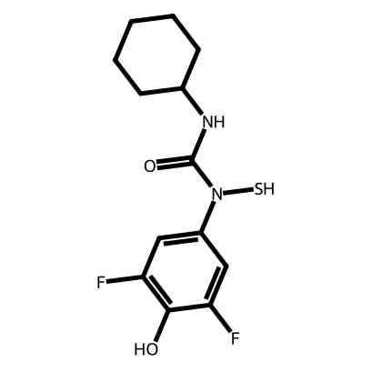 O=C(NC1CCCCC1)N(S)c1cc(F)c(O)c(F)c1